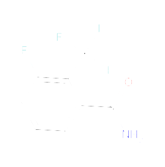 NC(=O)c1cccc(F)c1C(F)(F)F